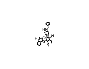 CCc1c(C#N)c(SC(C(N)=O)c2ccccc2)nc(N2CCC(NCc3ccccc3)CC2)c1C#N